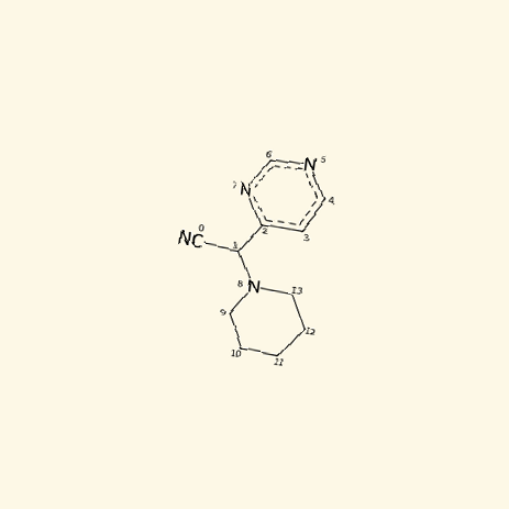 N#CC(c1ccncn1)N1CCCCC1